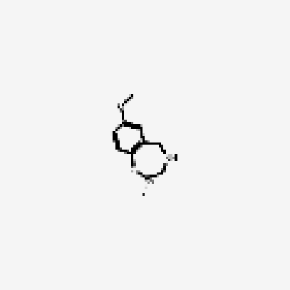 COc1ccc2c(c1)CNC[C@H](C)O2